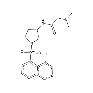 Cc1cncc2cccc(S(=O)(=O)N3CCC(NC(=O)CN(C)C)C3)c12